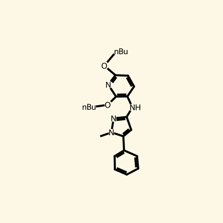 CCCCOc1ccc(Nc2cc(-c3ccccc3)n(C)n2)c(OCCCC)n1